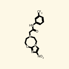 O=C(CN1CCOc2nc([N+](=O)[O-])cn2CC1)Nc1cccc(C(F)(F)F)c1